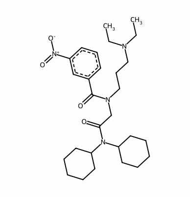 CCN(CC)CCCN(CC(=O)N(C1CCCCC1)C1CCCCC1)C(=O)c1cccc([N+](=O)[O-])c1